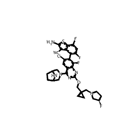 N#Cc1c(N)sc2c(F)cc(F)c(-c3c(Cl)cc4c(N5CC6CCC(C5)N6)nc(OCC5(CN6CC[C@@H](F)C6)CC5)nc4c3F)c12